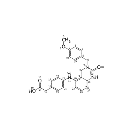 COc1ccc(CN2Cc3c(Nc4ccc(CC(=O)O)cc4)ccnc3NC2=O)cc1